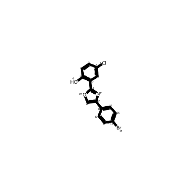 Oc1ccc(Cl)cc1-c1nc(-c2ccc(Br)cc2)co1